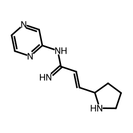 N=C(C=CC1CCCN1)Nc1cnccn1